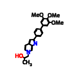 COc1cc(-c2ccc(-c3cc4ccn(CC(C)O)cc-4n3)cc2)cc(OC)c1OC